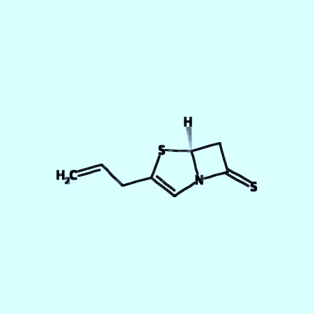 C=CCC1=CN2C(=S)C[C@@H]2S1